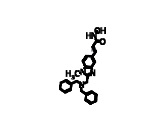 Cn1c(CN(CC2=CCCC=C2)Cc2ccccc2)nc2cc(/C=C/C(=O)NO)ccc21